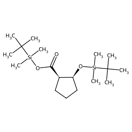 CC(C)(C)[Si](C)(C)OC(=O)[C@@H]1CCC[C@@H]1O[Si](C)(C)C(C)(C)C